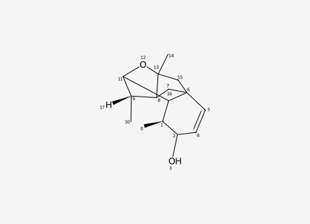 C[C@@H]1C(O)C=CC23CC4[C@H](C)C(OC4(C)C2)C13